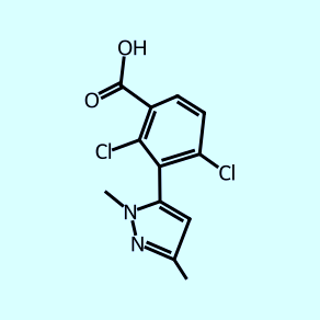 Cc1cc(-c2c(Cl)ccc(C(=O)O)c2Cl)n(C)n1